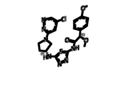 COc1ccc([C@@H](OC)C(=O)Nc2nnc(N[C@@H]3CCN(c4cc(Cl)cnn4)C3)s2)cc1